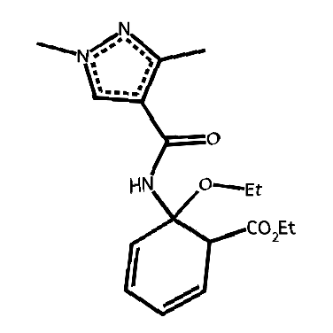 CCOC(=O)C1C=CC=CC1(NC(=O)c1cn(C)nc1C)OCC